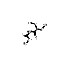 CCSN(SCC)C(=O)NC(=N)OC(C)CC